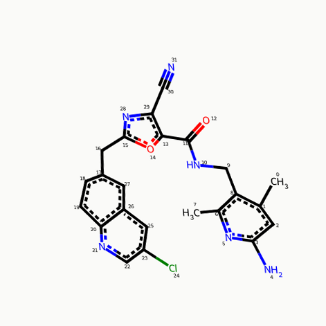 Cc1cc(N)nc(C)c1CNC(=O)c1oc(Cc2ccc3ncc(Cl)cc3c2)nc1C#N